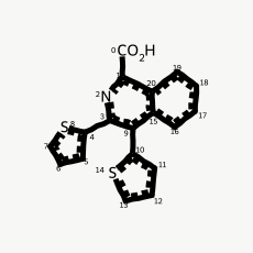 O=C(O)c1nc(-c2cccs2)c(-c2cccs2)c2ccccc12